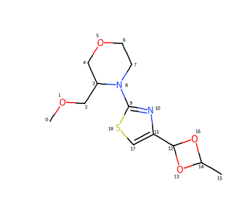 COCC1COCCN1c1nc(C2OC(C)O2)cs1